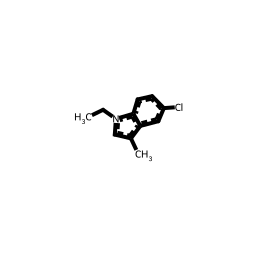 CCn1cc(C)c2cc(Cl)ccc21